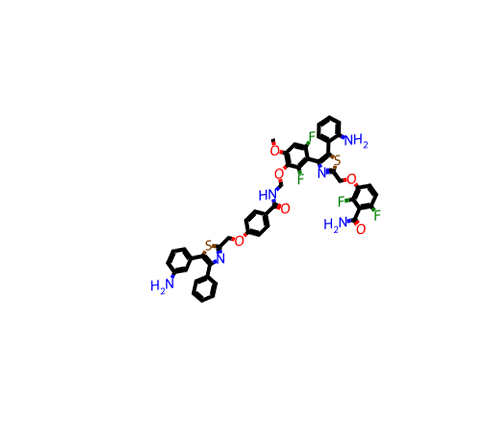 COc1cc(F)c(-c2nc(COc3ccc(F)c(C(N)=O)c3F)sc2-c2ccccc2N)c(F)c1OCNC(=O)c1ccc(OCc2nc(-c3ccccc3)c(-c3cccc(N)c3)s2)cc1